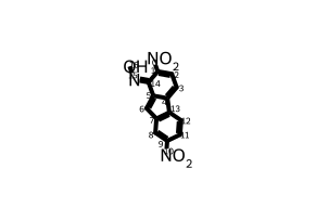 O=[N+]([O-])C1=CC=C2C(=Cc3cc([N+](=O)[O-])ccc32)C1=NO